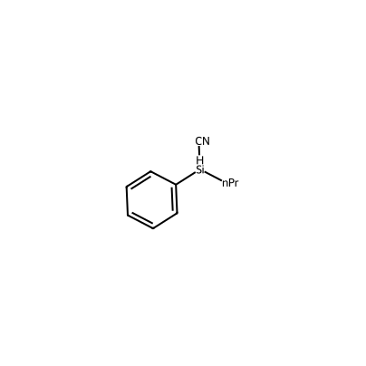 CCC[SiH](C#N)c1ccccc1